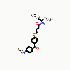 O=C(O)CC(NC(=O)CCCOc1ccc(C(=O)c2ccc(N=C=S)cc2)cc1)C(=O)O